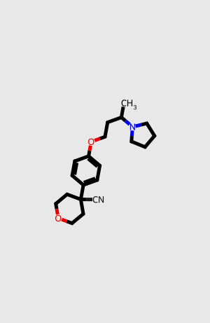 CC(CCOc1ccc(C2(C#N)CCOCC2)cc1)N1CCCC1